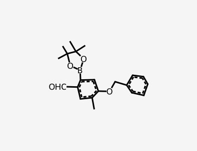 Cc1cc(C=O)c(B2OC(C)(C)C(C)(C)O2)cc1OCc1ccccc1